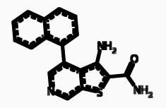 NC(=O)c1sc2cncc(-c3cccc4ccccc34)c2c1N